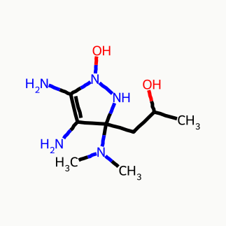 CC(O)CC1(N(C)C)NN(O)C(N)=C1N